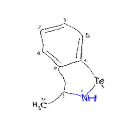 CC1N[Te]c2ccccc21